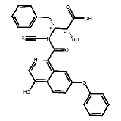 N#CN(C(=O)c1ncc(O)c2ccc(Oc3ccccc3)cc12)[C@H](Cc1ccccc1)[C@@H](O)C(=O)O